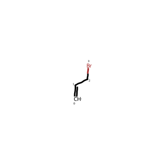 [CH]=CCBr